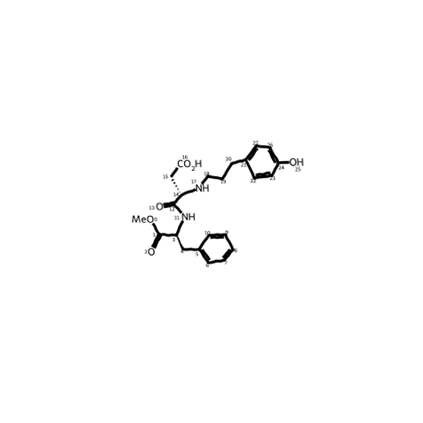 COC(=O)[C@H](Cc1ccccc1)NC(=O)[C@H](CC(=O)O)NCCCc1ccc(O)cc1